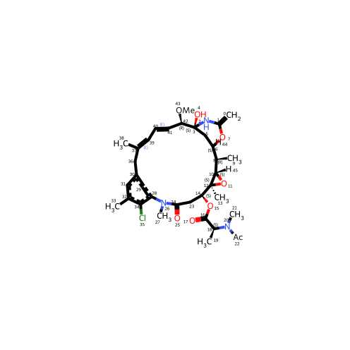 C=C1N[C@]2(O)C[C@H](O1)[C@@H](C)[C@@H]1O[C@@]1(C)[C@@H](OC(=O)[C@H](C)N(C)C(C)=O)CC(=O)N(C)c1cc(cc(C)c1Cl)C/C(C)=C/C=C/[C@H]2OC